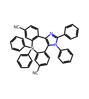 N#Cc1ccc2c(c1)[Si](c1ccccc1)(c1ccccc1)c1cc(C#N)ccc1-c1c-2nc(-c2ccccc2)n1-c1ccccc1